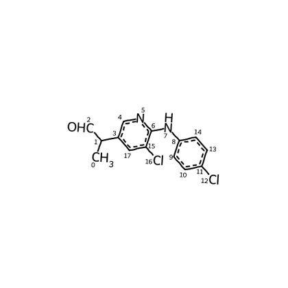 CC(C=O)c1cnc(Nc2ccc(Cl)cc2)c(Cl)c1